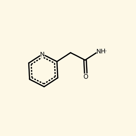 [NH]C(=O)Cc1ccccn1